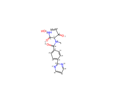 CNC(=O)C(C(=O)NO)N(C)C(=O)c1ccc(-c2ncccn2)cc1